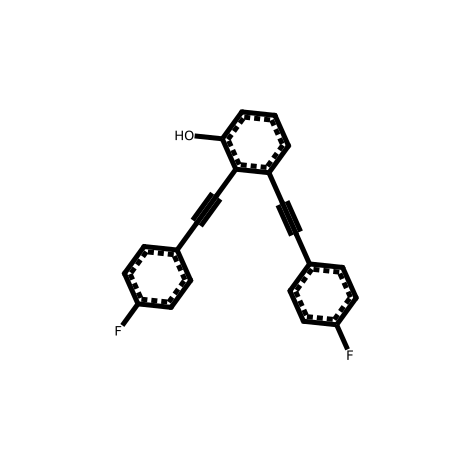 Oc1cccc(C#Cc2ccc(F)cc2)c1C#Cc1ccc(F)cc1